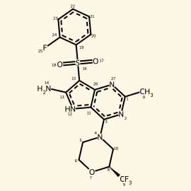 Cc1nc(N2CCO[C@H](C(F)(F)F)C2)c2[nH]c(N)c(S(=O)(=O)c3ccccc3F)c2n1